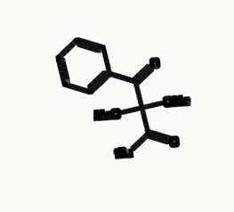 COC(OC)(C(=O)c1ccccc1)C(=O)C(C)(C)C